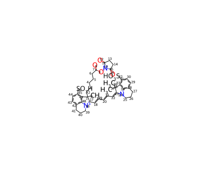 CC1(CCCCCC(=O)ON2C(=O)CCC2=O)C(/C=C/C=C/C=C2/N3CCCc4ccc(S(=O)(=O)O)c(c43)C2(C)C)=[N+]2CCCc3ccc(S(=O)(=O)O)c1c32